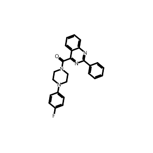 O=C(c1nc(-c2ccccc2)nc2ccccc12)N1CCN(c2ccc(F)cc2)CC1